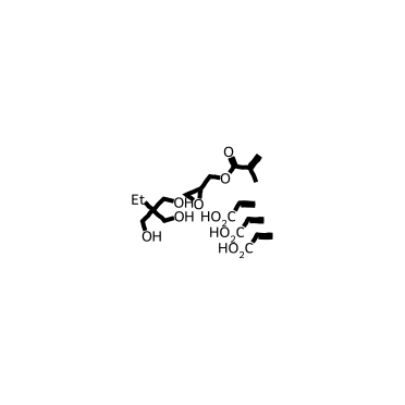 C=C(C)C(=O)OCC1CO1.C=CC(=O)O.C=CC(=O)O.C=CC(=O)O.CCC(CO)(CO)CO